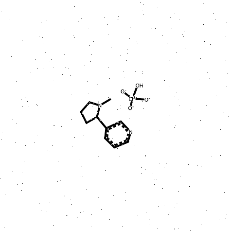 CN1CCCC1c1cccnc1.[O-][Cl+3]([O-])([O-])O